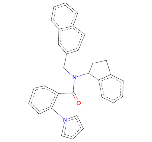 O=C(c1ccccc1-n1cccc1)N(Cc1ccc2ccccc2c1)C1CCc2ccccc21